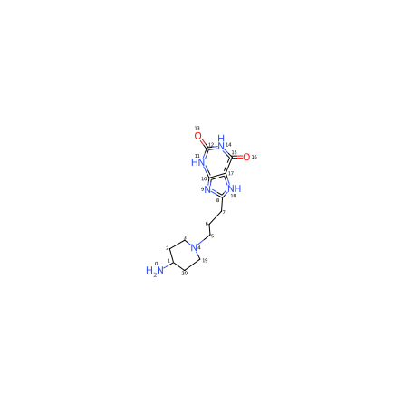 NC1CCN(CCCc2nc3[nH]c(=O)[nH]c(=O)c3[nH]2)CC1